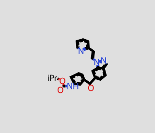 CC(C)OC(=O)Nc1cccc(C(=O)c2ccc3cnn(C=Cc4ccccn4)c3c2)c1